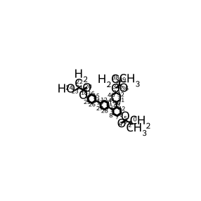 C=C(C)C(=O)Oc1ccc(-c2ccc(-c3ccc(OC(=O)C(=C)CO)cc3)cc2)c(C2CCC(OC(=O)C(=C)C)CC2)c1